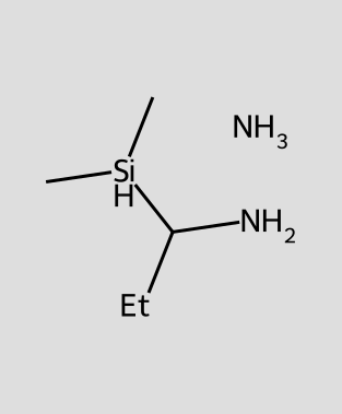 CCC(N)[SiH](C)C.N